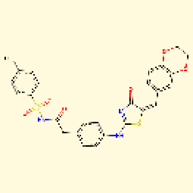 Cc1ccc(S(=O)(=O)NC(=O)Cc2ccc(NC3=NC(=O)C(=Cc4ccc5c(c4)OCCO5)S3)cc2)cc1